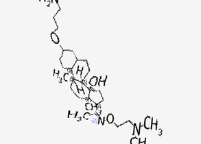 C/C(=N/OCCN(C)C)[C@H]1CC[C@@]2(O)[C@@H]3CCC4CC(OCCCN)CC[C@]4(C)[C@H]3CC[C@]12C